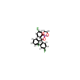 Fc1ccc(C(OP2OCCO2)(c2ccc(F)cc2)c2ccccc2F)cc1